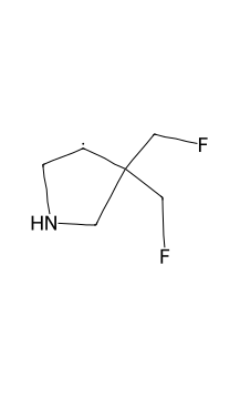 FCC1(CF)[CH]CNC1